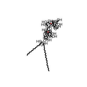 CCCCCCCCCCCCC/C=C/[C@@H](O)[C@H](CO[C@@H]1OC(CO)[C@@H](O[C@@H]2OC(CO)[C@H](O)[C@H](O[C@@H]3OC(CO)[C@@H](O[C@@H]4OC(CO[C@]5(C(=O)O)CC(O)[C@@H](NC(C)=O)C([C@H](O)[C@H](O)CO)O5)[C@H](O)[C@H](O)C4O)[C@H](O)C3NC(C)=O)C2O)[C@H](O)C1O)NC(=O)CCCCCCCCCCCCCCCCCCCCC